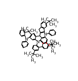 Cc1cc2c3c(c1)N(c1ccc(C(C)(C)C)cc1-c1ccc(C(C)(C)C)cc1)c1cc4c(cc1C3C1=C(c3cc(C(C)(C)C)ccc3C1)N2c1ccccc1)C(C)(C)c1ccccc1N4c1ccccc1